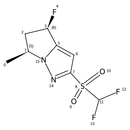 C[C@H]1C[C@@H](F)c2cc(S(=O)(=O)C(F)F)nn21